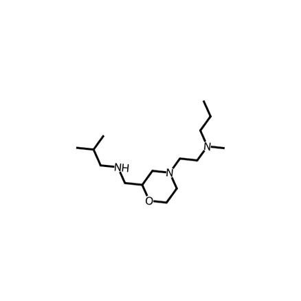 CCCN(C)CCN1CCOC(CNCC(C)C)C1